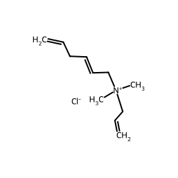 C=CCC=CC[N+](C)(C)CC=C.[Cl-]